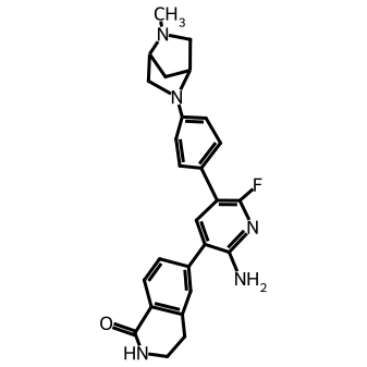 CN1CC2CC1CN2c1ccc(-c2cc(-c3ccc4c(c3)CCNC4=O)c(N)nc2F)cc1